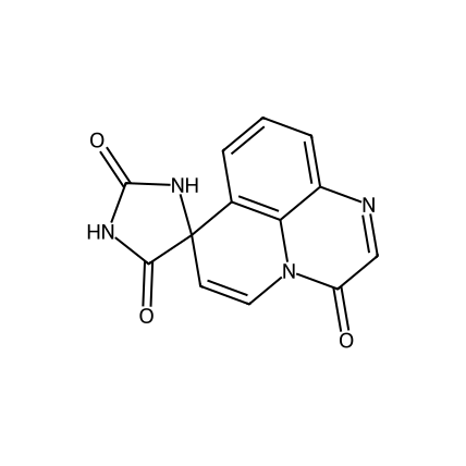 O=C1NC(=O)C2(C=Cn3c(=O)cnc4cccc2c43)N1